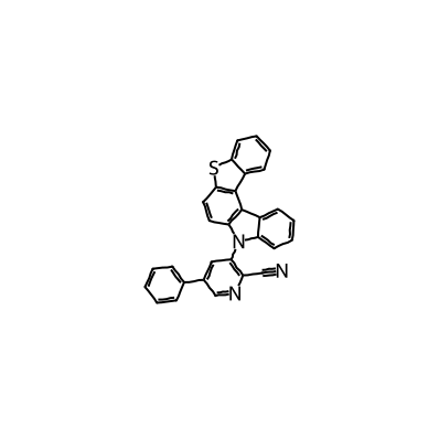 N#Cc1ncc(-c2ccccc2)cc1-n1c2ccccc2c2c3c(ccc21)sc1ccccc13